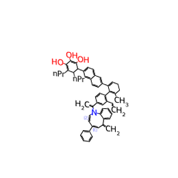 C=Cc1cc(C(=C)N2/C=C\C(c3ccccc3)=C/C(=C)c3ccccc32)ccc1C1=C(C)CCC=C1c1ccc2cc(C3C(O)=C(O)C(O)=C(CCC)C3CCC)ccc2c1